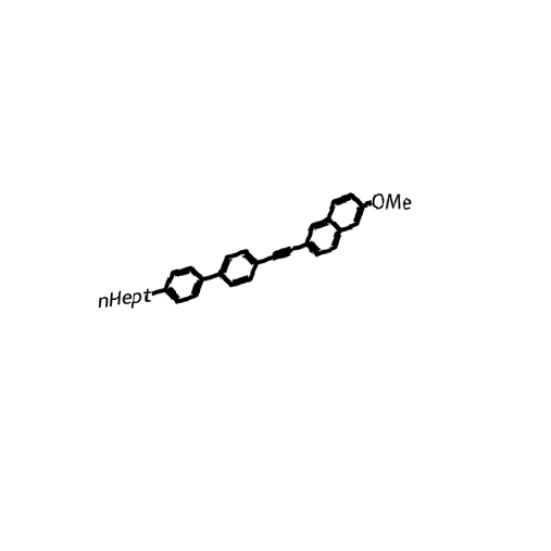 CCCCCCCc1ccc(-c2ccc(C#Cc3ccc4cc(OC)ccc4c3)cc2)cc1